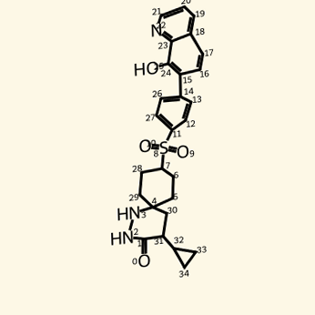 O=C1NNC2(CCC(S(=O)(=O)c3ccc(-c4ccc5cccnc5c4O)cc3)CC2)CC1C1CC1